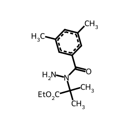 CCOC(=O)C(C)(C)N(N)C(=O)c1cc(C)cc(C)c1